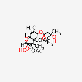 CC(=O)OC[C@]12CC(OC(=O)CC(C)(C)O)C(C)=C[C@H]1O[C@@H]1C(O)C(OC(C)=O)[C@@]2(C)[C@]12CO2